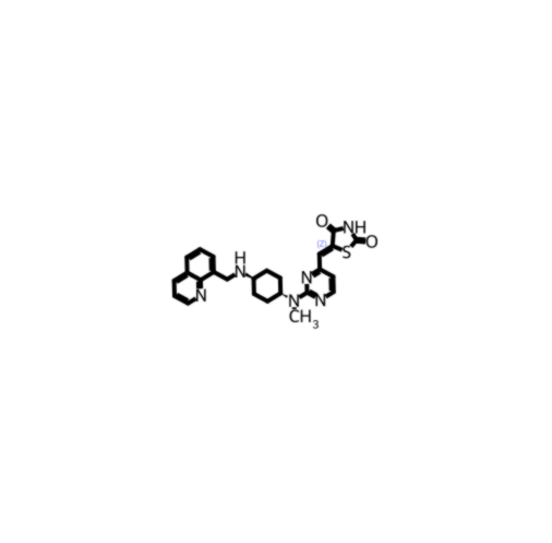 CN(c1nccc(/C=C2\SC(=O)NC2=O)n1)[C@H]1CC[C@H](NCc2cccc3cccnc23)CC1